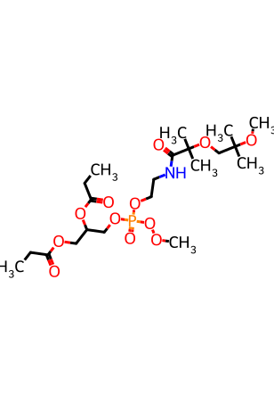 CCC(=O)OCC(COP(=O)(OCCNC(=O)C(C)(C)OCC(C)(C)OC)OOC)OC(=O)CC